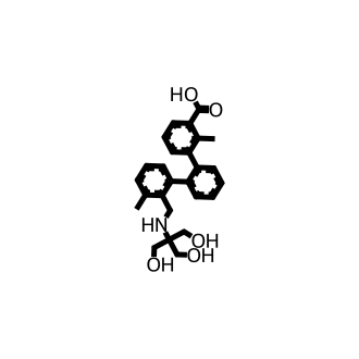 Cc1cccc(-c2ccccc2-c2cccc(C(=O)O)c2C)c1CNC(CO)(CO)CO